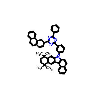 CC1(C)CCC(C)(C)c2cc3c(cc21)c1c2ccccc2ccc1n3-c1cccc(-c2nc(-c3ccccc3)nc(C3C=Cc4ccc5ccccc5c4C3)n2)c1